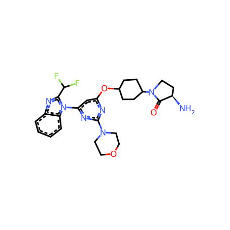 N[C@@H]1CCN(C2CCC(Oc3cc(-n4c(C(F)F)nc5ccccc54)nc(N4CCOCC4)n3)CC2)C1=O